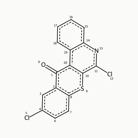 O=c1c2cc(Cl)ccc2sc2c(Cl)nc3ccccc3c12